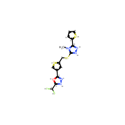 Cn1c(SCc2cc(-c3nnc(C(F)F)o3)cs2)nnc1-c1cccs1